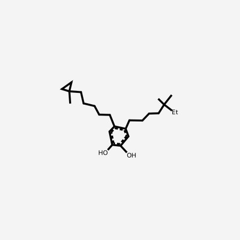 CCC(C)(C)CCCCc1cc(O)c(O)cc1CCCCCC1(C)CC1